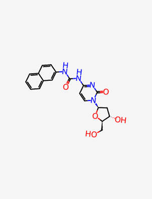 O=C(Nc1ccc2ccccc2c1)Nc1ccn([C@H]2C[C@H](O)[C@@H](CO)O2)c(=O)n1